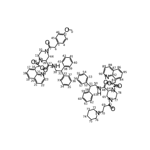 COc1ccc(CC(=O)N2CCN(S(=O)(=O)c3cccc4cccnc34)C(C(=O)NCC(c3ccccc3)c3ccccc3)C2)cc1.O=C(NCC(c1ccccc1)c1ccccc1)C1CN(C(=O)CCN2CCCCC2)CCN1S(=O)(=O)c1cccc2cccnc12